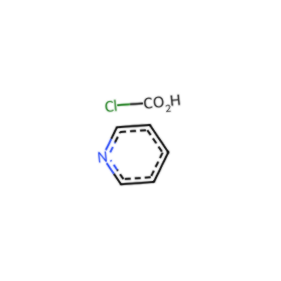 O=C(O)Cl.c1ccncc1